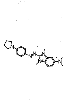 CN(C)c1ccc2c(c1)n(C)c(/N=N/c1ccc(N3CCCC3)cc1)[n+]2C